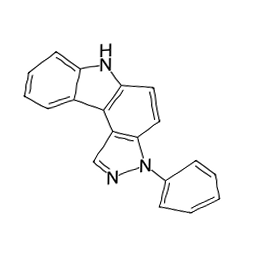 c1ccc(-n2ncc3c4c(ccc32)[nH]c2ccccc24)cc1